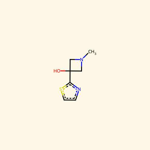 CN1CC(O)(c2nccs2)C1